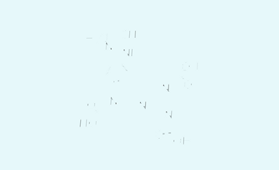 CNC(C)Nc1ccc(CN(CCN2CCN(CC(=O)O)CCN(CC(=O)O)CC2)CC(=O)O)cc1